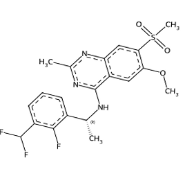 COc1cc2c(N[C@H](C)c3cccc(C(F)F)c3F)nc(C)nc2cc1S(C)(=O)=O